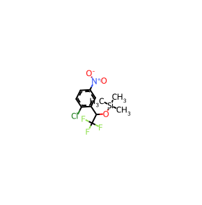 C[Si](C)(C)OC(c1cc([N+](=O)[O-])ccc1Cl)C(F)(F)F